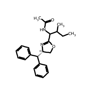 CCC(C)C(NC(C)=O)C1=N[C@@H](C(c2ccccc2)c2ccccc2)CO1